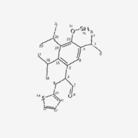 CC(C)c1cc(C(C=O)Cc2cccs2)c(C(C)C)c(C(C)C)c1O[SiH3]